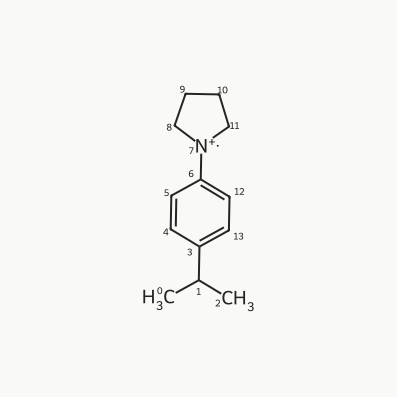 CC(C)c1ccc([N+]2CCCC2)cc1